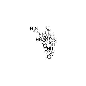 Cc1ccccc1NC(=O)Nc1ccc(CC(=O)N[C@@H](CCCCN)C(=O)N[C@@H](CC=O)C(=O)N[C@H](C(=O)N2CCC[C@H]2C(=O)O)C(C)C)cc1